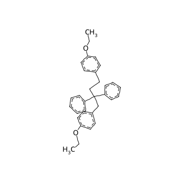 CCOc1ccc(CCC(Cc2ccc(OCC)cc2)(c2ccccc2)c2ccccc2)cc1